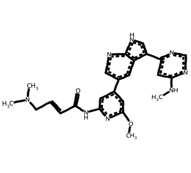 CNc1cc(-c2c[nH]c3ncc(-c4cc(NC(=O)C=CCN(C)C)nc(OC)c4)cc23)ncn1